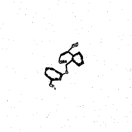 CO/C=C(/C=O)c1ccccc1COc1cccc(C(F)(F)F)n1